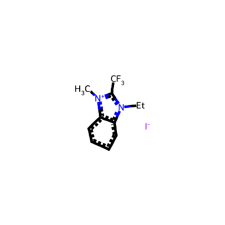 CCn1c(C(F)(F)F)[n+](C)c2ccccc21.[I-]